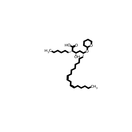 CCCCC/C=C\C/C=C\CCCCCCC[C@H](C[C@H](O)[C@H](CCCCCC)C(=O)O)OC1CCCCO1